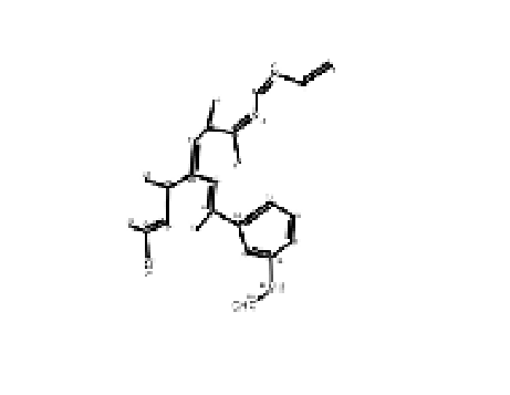 C=C/N=C\N=C(\C)C(C)/C=C(\C=C(/C)c1cccc(NC=O)c1)C(C)/C=C(\C)Cl